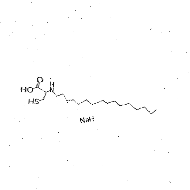 CCCCCCCCCCCCCCCCNC(CS)C(=O)O.[NaH]